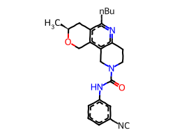 [C-]#[N+]c1cccc(NC(=O)N2CCc3nc(CCCC)c4c(c3C2)CO[C@@H](C)C4)c1